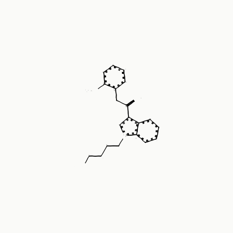 COc1ccccc1CC(=O)c1cn(CCCCC(=O)O)c2ccccc12